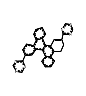 C1=C(c2ncncn2)CCc2c1c1c3ccccc3c3ccc(-c4ncncn4)cc3c1c1ccccc21